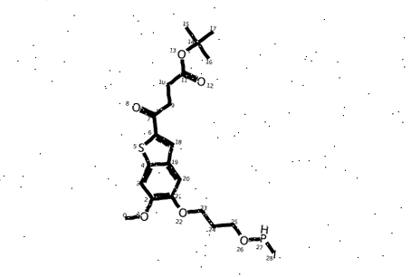 COc1cc2sc(C(=O)CCC(=O)OC(C)(C)C)cc2cc1OCCCOPI